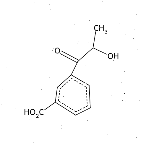 CC(O)C(=O)c1cccc(C(=O)O)c1